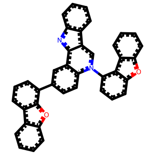 c1ccc2c3cn(-c4cccc5oc6ccccc6c45)c4ccc(-c5cccc6c5oc5ccccc56)cc4c-3nc2c1